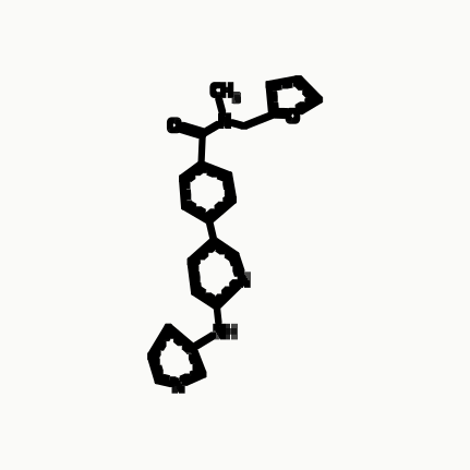 CN(Cc1ccco1)C(=O)c1ccc(-c2ccc(Nc3cccnc3)nc2)cc1